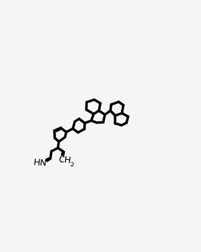 C=CC(CC=N)C1CC=CC(C2CCC(C3CCC(C4CCCC5CCCCC54)C4CCCCC34)CC2)C1